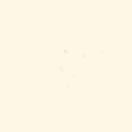 FC(F)(F)c1cccc(-c2cnc(N3CCNCC3)c3nncn23)c1